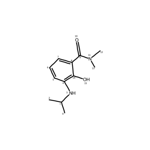 CC(C)Nc1cccc(C(=O)N(C)C)c1O